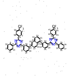 FC(F)(F)c1ccc(-c2nc(-c3ccccc3)nc(-c3cccc(-c4ccc5c(-c6cccc(-c7nc(-c8ccccc8)nc(-c8ccc(C(F)(F)F)cc8)n7)c6)cccc5c4)c3)n2)cc1